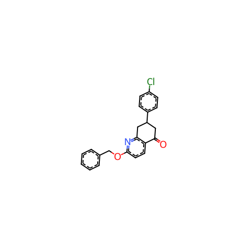 O=C1CC(c2ccc(Cl)cc2)Cc2nc(OCc3ccccc3)ccc21